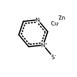 [Cu].[S-][n+]1cccnc1.[Zn]